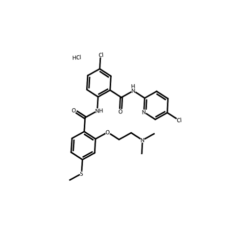 CSc1ccc(C(=O)Nc2ccc(Cl)cc2C(=O)Nc2ccc(Cl)cn2)c(OCCN(C)C)c1.Cl